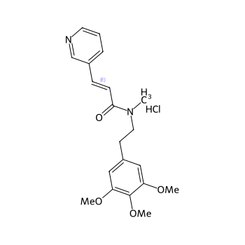 COc1cc(CCN(C)C(=O)/C=C/c2cccnc2)cc(OC)c1OC.Cl